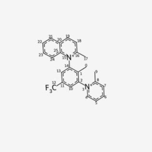 Cc1c(-[n+]2ccccc2C)cc(C(F)(F)F)cc1-[n+]1c(C)ccc2ccccc21